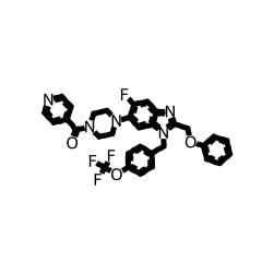 O=C(c1ccncc1)N1CCN(c2cc3c(cc2F)nc(COc2ccccc2)n3Cc2ccc(OC(F)(F)F)cc2)CC1